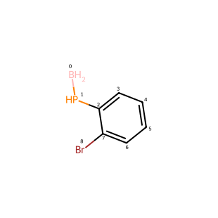 BPc1ccccc1Br